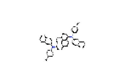 CC(C)c1ccc(N(c2ccc3ccccc3c2)c2ccc3ccc4c(N(c5ccc(C(C)C)cc5)c5ccc6ccccc6c5)ccc5ccc2c3c54)cc1